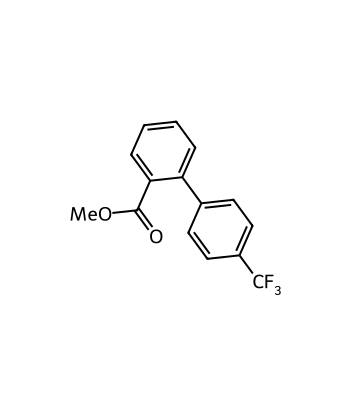 COC(=O)c1ccccc1-c1ccc(C(F)(F)F)cc1